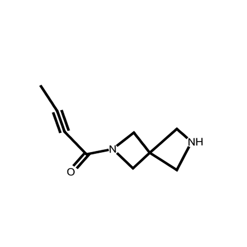 CC#CC(=O)N1CC2(CNC2)C1